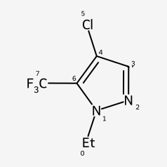 CCn1n[c]c(Cl)c1C(F)(F)F